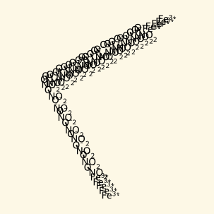 O=[N+]([O-])[O-].O=[N+]([O-])[O-].O=[N+]([O-])[O-].O=[N+]([O-])[O-].O=[N+]([O-])[O-].O=[N+]([O-])[O-].O=[N+]([O-])[O-].O=[N+]([O-])[O-].O=[N+]([O-])[O-].O=[N+]([O-])[O-].O=[N+]([O-])[O-].O=[N+]([O-])[O-].O=[N+]([O-])[O-].O=[N+]([O-])[O-].O=[N+]([O-])[O-].O=[N+]([O-])[O-].O=[N+]([O-])[O-].O=[N+]([O-])[O-].O=[N+]([O-])[O-].O=[N+]([O-])[O-].O=[N+]([O-])[O-].O=[N+]([O-])[O-].O=[N+]([O-])[O-].O=[N+]([O-])[O-].O=[N+]([O-])[O-].O=[N+]([O-])[O-].O=[N+]([O-])[O-].O=[N+]([O-])[O-].O=[N+]([O-])[O-].O=[N+]([O-])[O-].O=[N+]([O-])[O-].[Fe+3].[Fe+3].[Fe+3].[Fe+3].[Fe+3].[Fe+3].[Fe+3].[Fe+3].[Fe+3].[Fe+3]